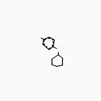 [O-][S+](c1ccc(C(F)(F)F)cc1)C1CCCCC1